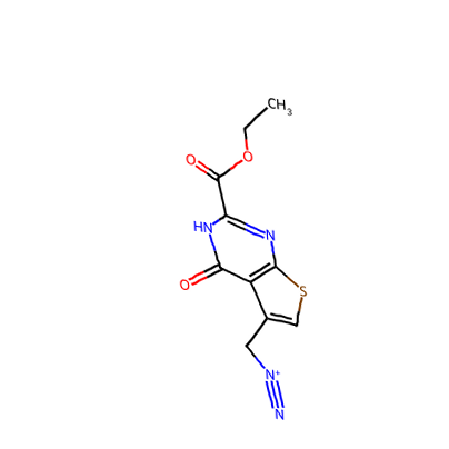 CCOC(=O)c1nc2scc(C[N+]#N)c2c(=O)[nH]1